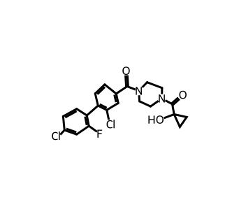 O=C(c1ccc(-c2ccc(Cl)cc2F)c(Cl)c1)N1CCN(C(=O)C2(O)CC2)CC1